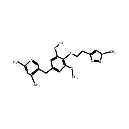 COc1cc(Cc2cnc(N)nc2N)cc(OC)c1OCCc1cn(C)nn1